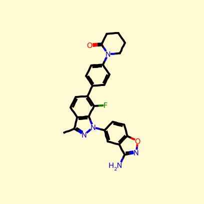 Cc1nn(-c2ccc3onc(N)c3c2)c2c(F)c(-c3ccc(N4CCCCC4=O)cc3)ccc12